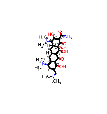 CN(C)Cc1cc(N(C)C)c2c(c1O)C(=O)C1=C(O)[C@]3(O)C(=O)C(C(N)=O)=C(O)C(N(C)C)[C@@H]3C[C@@H]1C2